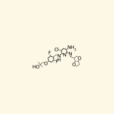 CC(C)(O)COc1cc(F)c(CNc2nc(/N=C/C3COC4CCOC34)c(N)cc2Cl)c(F)c1